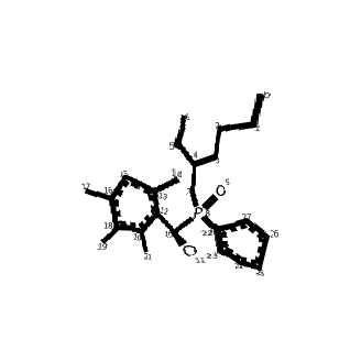 CCCCC(CC)CP(=O)(C(=O)c1c(C)cc(C)c(C)c1C)c1ccccc1